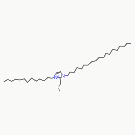 CCCCCCCCCCCCCCCCCCCn1cc[n+](CCCCCCCCCCCCC)c1CCC